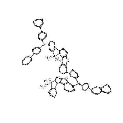 CC1(C)c2ccccc2-c2c1ccc1oc3c(N(c4ccc(-c5ccc6ccccc6c5)cc4)c4cccc(-c5cccc6c5oc5ccc7c(c56)C(C)(C)c5cc(N(c6ccc(-c8ccccc8)cc6)c6ccc(-c8ccccc8)cc6)ccc5-7)c4)cccc3c21